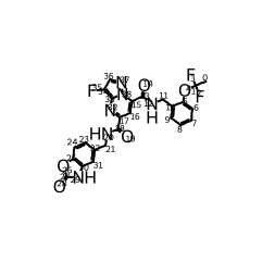 CC(F)(F)Oc1ccccc1CNC(=O)c1cc(C(=O)NCc2ccc3oc(=O)[nH]c3c2)nc2c(F)cnn12